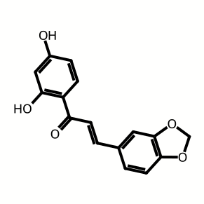 O=C(C=Cc1ccc2c(c1)OCO2)c1ccc(O)cc1O